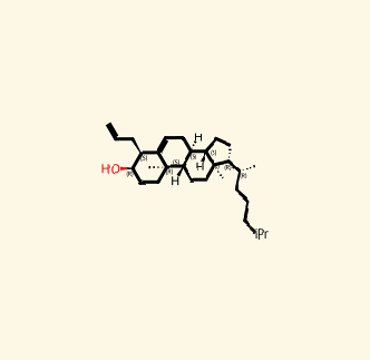 C=CC[C@H]1C2=CC[C@H]3[C@@H]4CC[C@H]([C@H](C)CCCC(C)C)[C@@]4(C)CC[C@@H]3[C@@]2(C)CC[C@H]1O